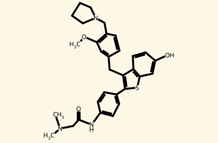 COc1cc(Cc2c(-c3ccc(NC(=O)CN(C)C)cc3)sc3cc(O)ccc23)ccc1CN1CCCC1